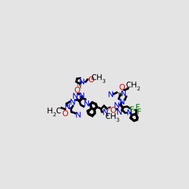 C=CC(=O)N1CCN(c2nc(OC[C@@H]3CCCN3CCOC)nc3c2CCN(c2ccc(C4C[C@@H](COc5nc6c(c(N7CCN(C(=O)C=C)[C@@H](CC#N)C7)n5)CCN(c5ccccc5C(F)(F)F)C6)N(C)C4)c4ccccc24)C3)CC1CC#N